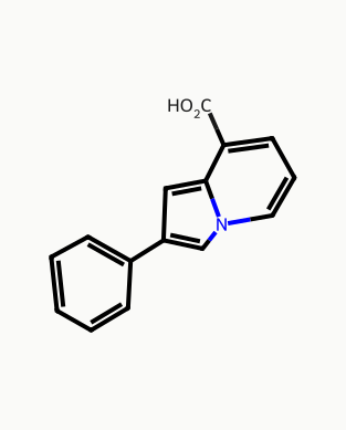 O=C(O)c1cccn2cc(-c3ccccc3)cc12